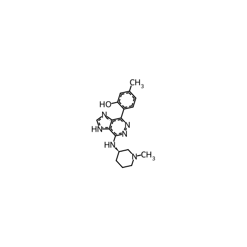 Cc1ccc(-c2nnc(N[C@@H]3CCCN(C)C3)c3[nH]cnc23)c(O)c1